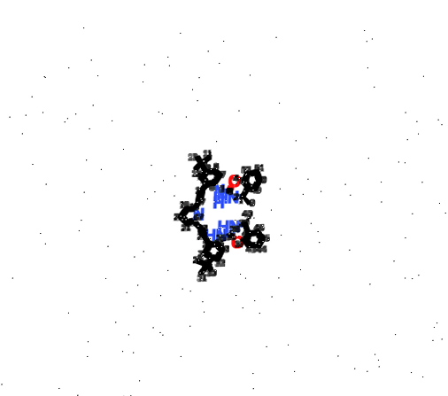 C[C@@H](NC(=O)Nc1ccc(C(C)(C)C)cc1C#Cc1cccc(C#Cc2cc(C(C)(C)C)ccc2NC(=O)N[C@H](C)c2ccccc2)n1)c1ccccc1